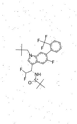 CC(C)(C)Cn1cc([C@H](N[S@@+]([O-])C(C)(C)C)C(F)F)c2cc(F)c(-c3ccccc3C(F)(F)F)cc21